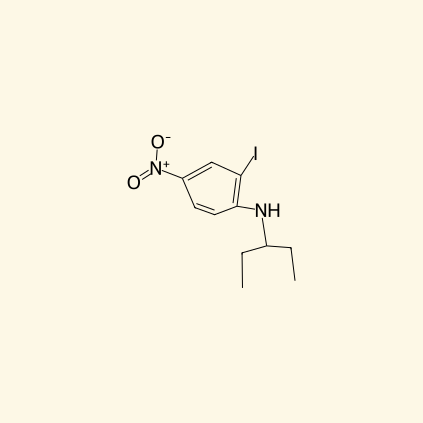 CCC(CC)Nc1ccc([N+](=O)[O-])cc1I